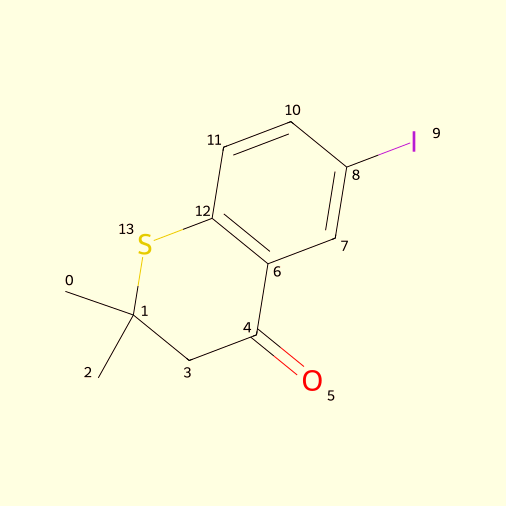 CC1(C)CC(=O)c2cc(I)ccc2S1